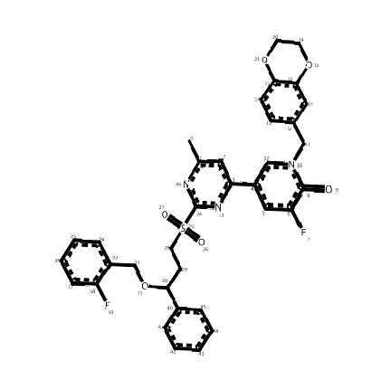 Cc1cc(-c2cc(F)c(=O)n(Cc3ccc4c(c3)OCCO4)c2)nc(S(=O)(=O)CCC(OCc2ccccc2F)c2ccccc2)n1